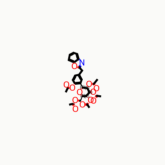 CC(=O)OC[C@H]1O[C@@H](c2cc(Cc3nc4ccccc4o3)ccc2OC(C)=O)[C@H](OC(C)=O)[C@@H](OC(C)=O)[C@@H]1OC(C)=O